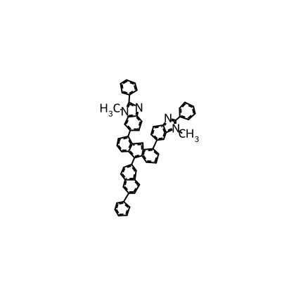 Cn1c(-c2ccccc2)nc2ccc(-c3cccc4c(-c5ccc6cc(-c7ccccc7)ccc6c5)c5cccc(-c6ccc7nc(-c8ccccc8)n(C)c7c6)c5cc34)cc21